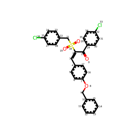 O=C(/C(=C\c1ccc(OCc2ccccc2)cc1)S(=O)(=O)Cc1ccc(Cl)cc1)c1ccc(Cl)cc1